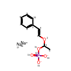 CC(OC=Cc1ccccc1)OP(=O)([O-])[O-].[Na+].[Na+]